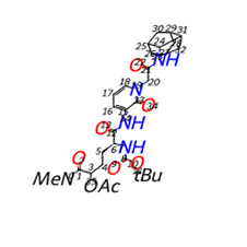 CNC(=O)C(CC[C@H](NC(=O)OC(C)(C)C)C(=O)Nc1cccn(CC(=O)NC2C3CC4CC(C3)C2C4)c1=O)OC(C)=O